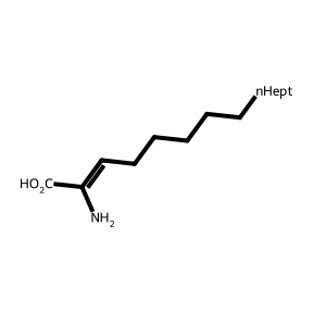 CCCCCCCCCCCCC=C(N)C(=O)O